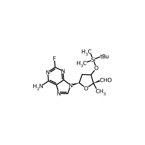 CC(C)(C)[Si](C)(C)OC1C[C@H](n2cnc3c(N)nc(F)nc32)O[C@]1(C)C=O